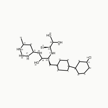 CC[C@H](N[C@@H](CC1CCC(C2CCCC(Cl)C2)CC1)C(O)NC1CC(C)NNN1)C(O)O